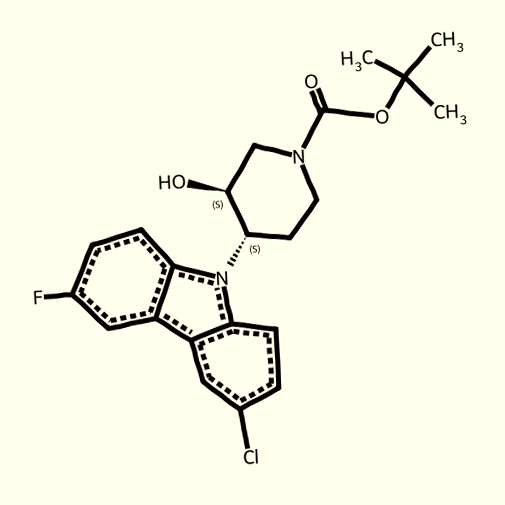 CC(C)(C)OC(=O)N1CC[C@H](n2c3ccc(F)cc3c3cc(Cl)ccc32)[C@@H](O)C1